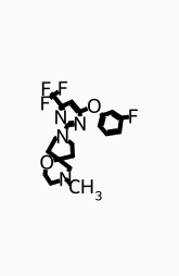 CN1CCOC2(CCN(c3nc(Oc4cccc(F)c4)cc(C(F)(F)F)n3)CC2)C1